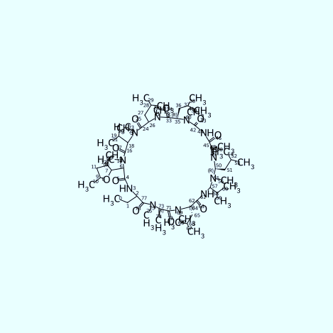 CCC1NC(=O)C(C2OC(C)C[C@H]2C)N(C)C(=O)C(C(C)C)N(C)C(=O)C(CC(C)C)N(C)C(=O)[C@@H](CC(C)C)N(C)C(=O)NC(=O)[C@@H](C)N[C@@H](CC(C)C)N(C)C(C(C)C)NC(=O)[C@H](CC(C)C)N(C)C(=O)[C@@H](C)N(C)C1=O